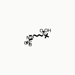 CC(C)(C)N(CCCCn1cnc([N+](=O)[O-])c1)C(=O)O